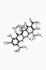 CCCCN(C)c1cc([N+](=O)[O-])c(O)c2c1CC1CC3[C@H](N(C)C)C(O)=C(C(N)=O)C(=O)[C@@]3(O)C(O)=C1C2=O.O=S(=O)(O)O